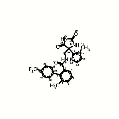 Cc1cccc(C(=O)NCC2(c3nccn3C)NC(=O)NC2=O)c1-c1ccc(C(F)(F)F)cc1